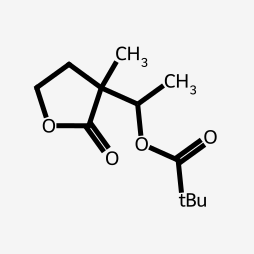 CC(OC(=O)C(C)(C)C)C1(C)CCOC1=O